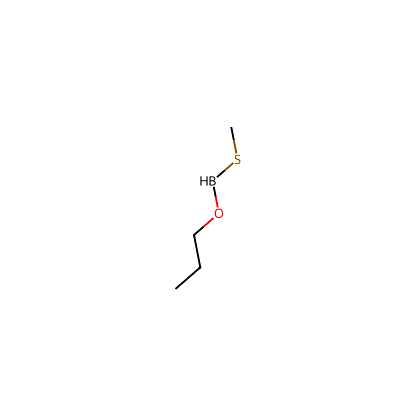 CCCOBSC